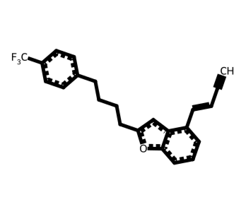 C#CC=Cc1cccc2oc(CCCCc3ccc(C(F)(F)F)cc3)cc12